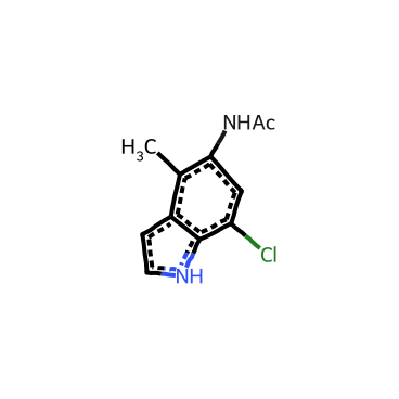 CC(=O)Nc1cc(Cl)c2[nH]ccc2c1C